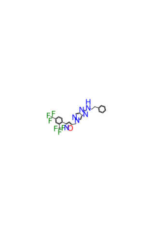 FC(F)(F)c1ccc(-c2cc(Cn3cc4nc(NCCc5ccccc5)nc-4cn3)on2)c(C(F)(F)F)c1